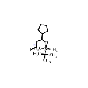 CC(C)(C)[Si](C)(C)OC(/C=C/I)C1CCCC1